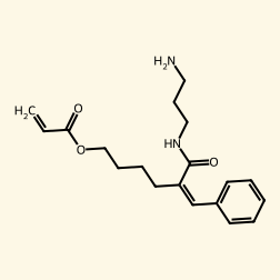 C=CC(=O)OCCCCC(=Cc1ccccc1)C(=O)NCCCN